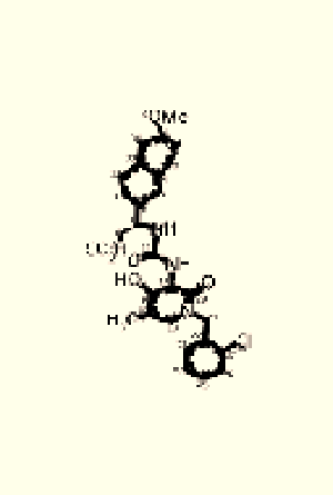 COc1ccc2cc([C@H](CC(=O)O)NC(=O)Nc3c(O)c(C)cn(Cc4ccccc4Cl)c3=O)ccc2c1